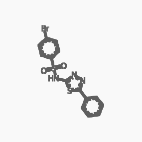 O=S(=O)(Nc1nnc(-c2ccccc2)s1)c1ccc(Br)cc1